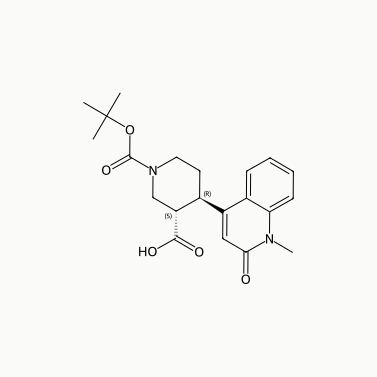 Cn1c(=O)cc([C@@H]2CCN(C(=O)OC(C)(C)C)C[C@H]2C(=O)O)c2ccccc21